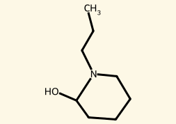 CCCN1CCCCC1O